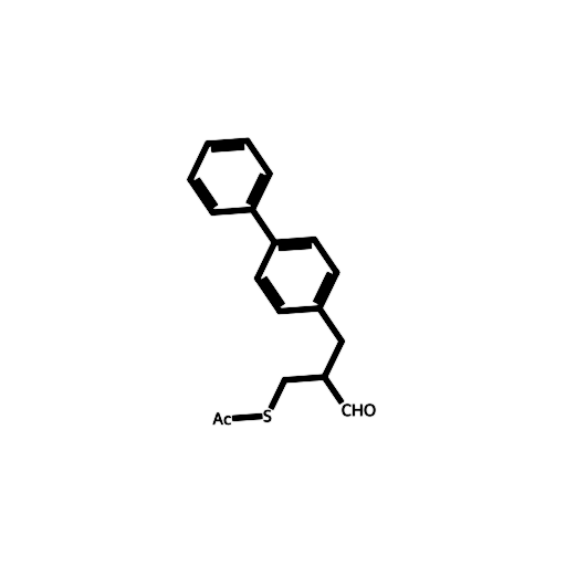 CC(=O)SCC(C=O)Cc1ccc(-c2ccccc2)cc1